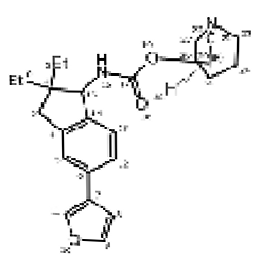 CCC1(CC)Cc2cc(-c3ccoc3)ccc2C1NC(=O)O[C@H]1CN2CCC1CC2